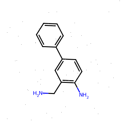 NCc1cc(-c2ccccc2)ccc1N